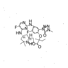 CCC(C)(Oc1cc(F)c(Nc2ncc(F)c(N[C@@H]3C[C@@H]4CCCN4C(C)(C)C3)n2)cc1-n1nnn(C)c1=O)C(=O)O